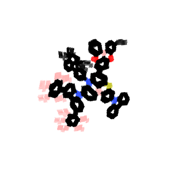 Bc1c(B)c(B)c(-c2ccc3c(c2)c2cc(-c4c(B)c(B)c(B)c(B)c4B)ccc2n3-c2ccc3c(c2)N(c2ccc(-c4cccc5c4C(C)(C)CCC5(C)C)cc2)c2cc(-c4cc5c6c(c4)Oc4cc(C(C)(C)C)ccc4B6c4ccccc4O5)cc4c2B3c2ccc(-n3c5ccccc5c5ccccc53)cc2S4)c(B)c1B